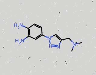 CN(C)Cc1cn(-c2ccc(N)c(N)c2)nn1